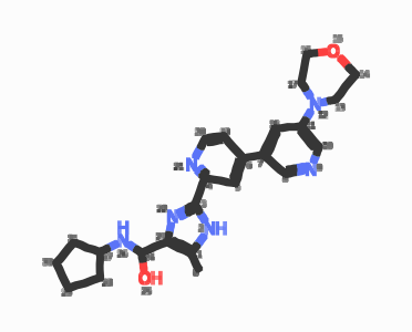 Cc1[nH]c(-c2cc(-c3cncc(N4CCOCC4)c3)ccn2)nc1C(O)NC1CCCC1